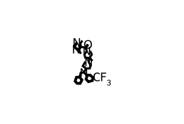 Cc1ncnc(C)c1C(=O)N1CCC(C)(N2CCC(N(Cc3ccccc3)c3cccc(C(F)(F)F)c3)CC2)CC1